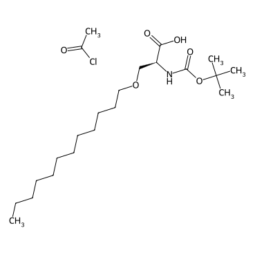 CC(=O)Cl.CCCCCCCCCCCCOC[C@H](NC(=O)OC(C)(C)C)C(=O)O